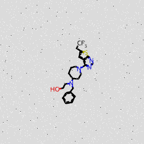 OCCN(Cc1ccccc1)C1CCCN(c2ncnc3sc(CC(F)(F)F)cc23)CC1